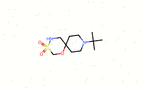 CC(C)(C)N1CCC2(CC1)CNS(=O)(=O)CO2